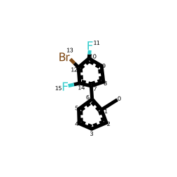 Cc1ccccc1-c1ccc(F)c(Br)c1F